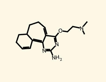 CN(C)CCOc1nc(N)nc2c1=CCCC1CCC=CC=21